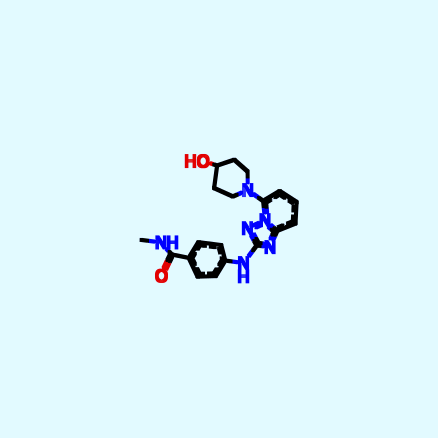 CNC(=O)c1ccc(Nc2nc3cccc(N4CCC(O)CC4)n3n2)cc1